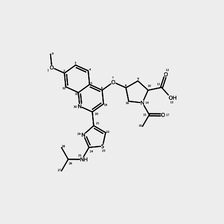 COc1ccc2c(OC3CC(C(=O)O)N(C(C)=O)C3)cc(-c3csc(NC(C)C)n3)nc2c1